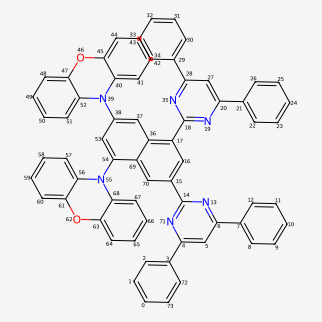 c1ccc(-c2cc(-c3ccccc3)nc(-c3cc(-c4nc(-c5ccccc5)cc(-c5ccccc5)n4)c4cc(N5c6ccccc6Oc6ccccc65)cc(N5c6ccccc6Oc6ccccc65)c4c3)n2)cc1